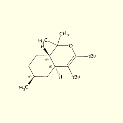 C[C@H]1CC[C@H]2[C@H](C1)C(C(C)(C)C)=C(C(C)(C)C)OC2(C)C